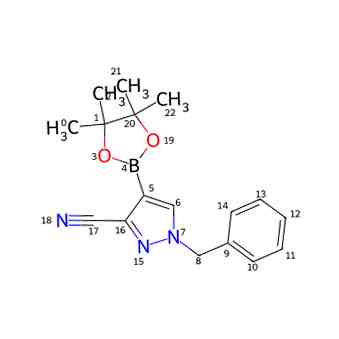 CC1(C)OB(c2cn(Cc3ccccc3)nc2C#N)OC1(C)C